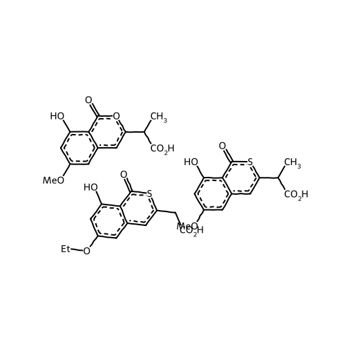 CCOc1cc(O)c2c(=O)sc(CC(=O)O)cc2c1.COc1cc(O)c2c(=O)oc(C(C)C(=O)O)cc2c1.COc1cc(O)c2c(=O)sc(C(C)C(=O)O)cc2c1